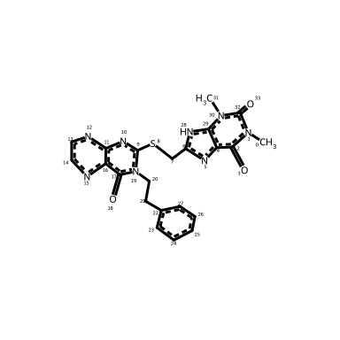 Cn1c(=O)c2nc(CSc3nc4nccnc4c(=O)n3CCc3ccccc3)[nH]c2n(C)c1=O